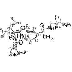 CC(C(=O)NCC(F)(F)CN)c1ccc(NC(=O)C(NC(=O)c2ccnn2C(C)C)C(C2CC2)C2CC2)c(F)c1